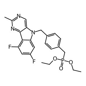 CCOP(=O)(Cc1ccc(Cn2c3cnc(C)nc3c3c(F)cc(F)cc32)cc1)OCC